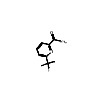 CC(C)(F)c1cccc(C(N)=O)n1